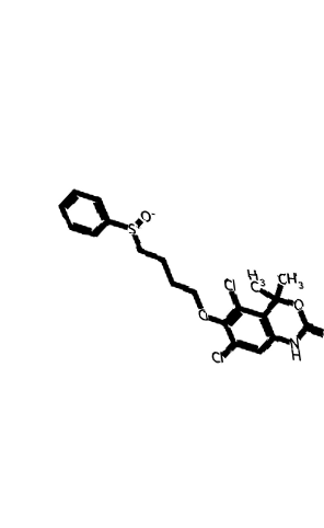 CC1(C)OC(=O)Nc2cc(Cl)c(OCCCC[S+]([O-])c3ccccc3)c(Cl)c21